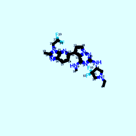 CCN1C[C@@H](Nc2nc(NC)c3c(-c4ccc5nc(C)n(CC(F)F)c5n4)ccn3n2)C(F)(F)C1